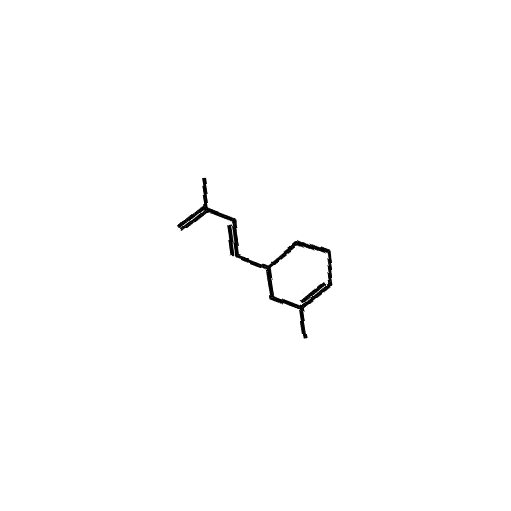 C=C(C)C=CC1CCC=C(C)C1